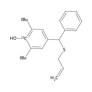 C=CCSC(c1ccccc1)c1cc(C(C)(C)C)[13c](O)c(C(C)(C)C)c1